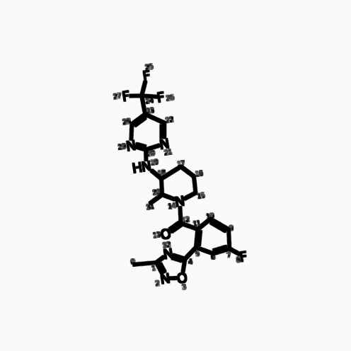 Cc1noc(-c2cc(F)ccc2C(=O)N2CCCC(Nc3ncc(C(F)(F)F)cn3)C2C)n1